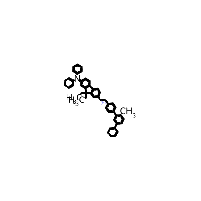 CCC1(CC)c2cc(/C=C/c3ccc(-c4cc(C5=CCCC=C5)ccc4C)cc3)ccc2-c2ccc(N(C3=CCCC=C3)c3ccccc3)cc21